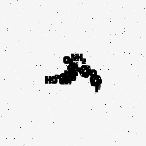 CS(=O)(=O)N(CC(O)CO)c1cc(C(N)=O)nc(-c2ccc(Oc3ccc(F)cc3)cc2)n1